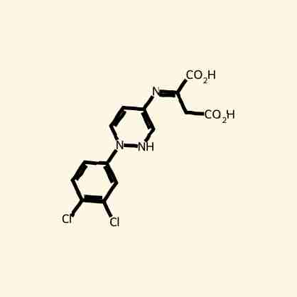 O=C(O)CC(=NC1=CNN(c2ccc(Cl)c(Cl)c2)C=C1)C(=O)O